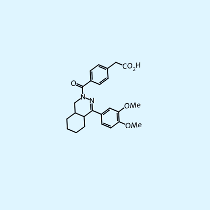 COc1ccc(C2=NN(C(=O)c3ccc(CC(=O)O)cc3)CC3CCCCC23)cc1OC